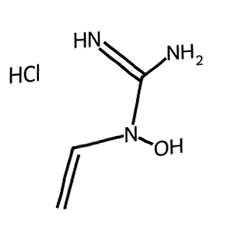 C=CN(O)C(=N)N.Cl